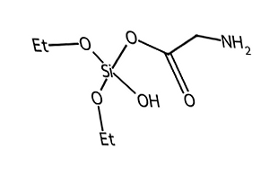 CCO[Si](O)(OCC)OC(=O)CN